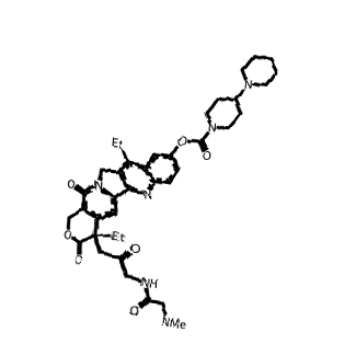 CCc1c2c(nc3ccc(OC(=O)N4CCC(N5CCCCC5)CC4)cc13)-c1cc3c(c(=O)n1C2)COC(=O)[C@@]3(CC)CC(=O)CNC(=O)CNC